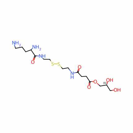 NCCCC(N)C(=O)NCCSSCCNC(=O)CCC(=O)OC[C@@H](O)CO